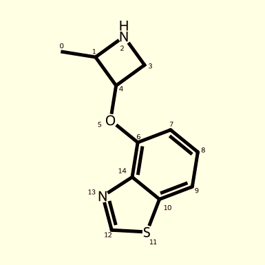 CC1NCC1Oc1cccc2scnc12